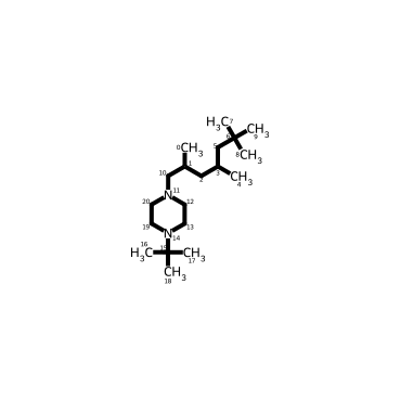 CC(CC(C)CC(C)(C)C)CN1CCN(C(C)(C)C)CC1